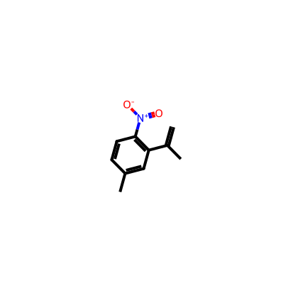 C=C(C)c1cc(C)ccc1[N+](=O)[O-]